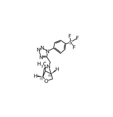 CC1[C@H]2CO[C@@H]1CN2Cc1nnnn1-c1ccc(S(F)(F)F)cc1